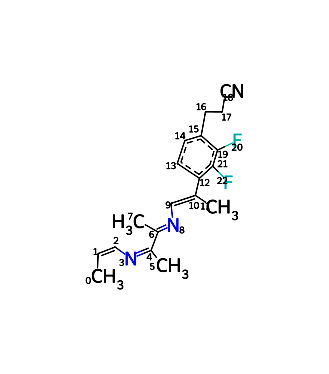 C\C=C/N=C(C)\C(C)=N\C=C(/C)c1ccc(CCC#N)c(F)c1F